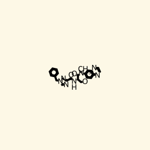 CN1C(=O)[C@@H](NC(=O)c2ncn(Cc3ccccc3)n2)COc2cc3nccnc3cc21